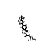 CCONCC(C)NC(=O)c1ccc(-c2noc(C(F)(F)F)n2)cc1